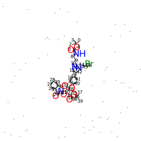 CC(C)(C)OC(=O)NCCCn1cc(-c2ccc(OC[C@H](ON3C(=O)c4ccccc4C3=O)C(=O)OC(C)(C)C)cc2)c[n+]1CCBr